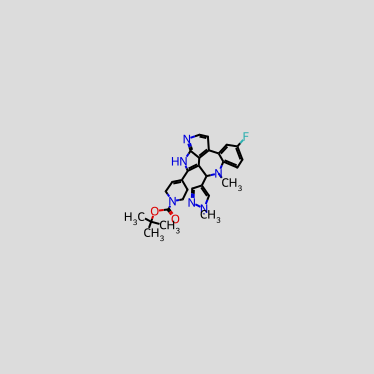 CN1c2ccc(F)cc2-c2ccnc3[nH]c(C4=CCN(C(=O)OC(C)(C)C)CC4)c(c23)C1c1cnn(C)c1